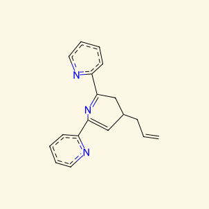 C=CCC1C=C(c2ccccn2)N=C(c2ccccn2)C1